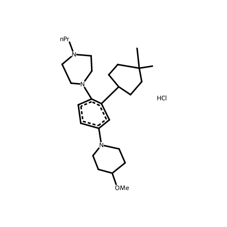 CCCN1CCN(c2ccc(N3CCC(OC)CC3)cc2C2CCC(C)(C)CC2)CC1.Cl